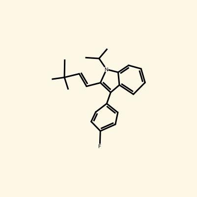 CC(C)n1c(/C=C/C(C)(C)C)c(-c2ccc(F)cc2)c2ccccc21